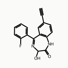 C#Cc1ccc2c(c1)C(c1ccccc1F)=NC(O)C(=O)N2